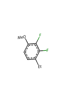 CCc1ccc(OC)c(F)c1F